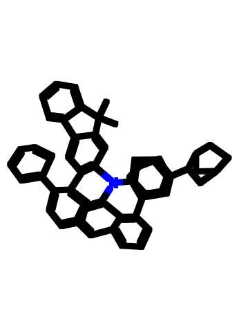 CC1(C)c2ccccc2-c2cc(-c3ccccc3-c3ccccc3)c(N(c3ccc(C4CC5CCC4C5)cc3)c3cccc4cccc(C5CCCCC5)c34)cc21